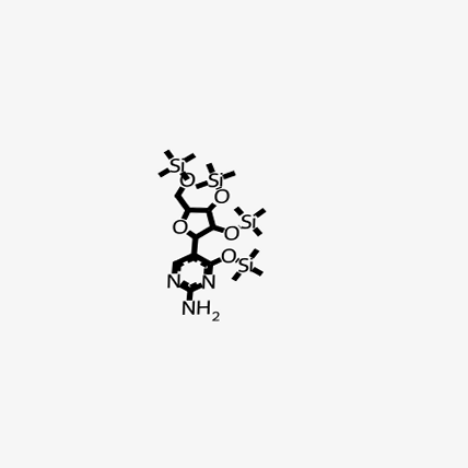 C[Si](C)(C)OCC1OC(c2cnc(N)nc2O[Si](C)(C)C)C(O[Si](C)(C)C)C1O[Si](C)(C)C